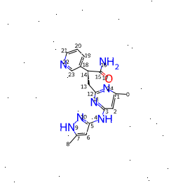 Cc1cc(Nc2cc(C)[nH]n2)nc(C[C@H](C(N)=O)c2cccnc2)n1